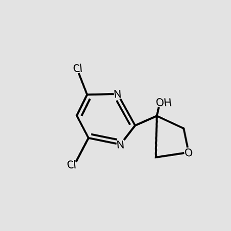 OC1(c2nc(Cl)cc(Cl)n2)COC1